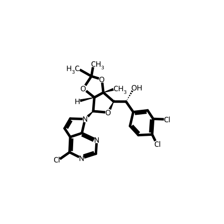 CC1(C)O[C@H]2[C@H](n3ccc4c(Cl)ncnc43)O[C@H]([C@H](O)c3ccc(Cl)c(Cl)c3)[C@@]2(C)O1